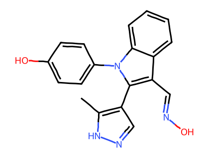 Cc1[nH]ncc1-c1c(C=NO)c2ccccc2n1-c1ccc(O)cc1